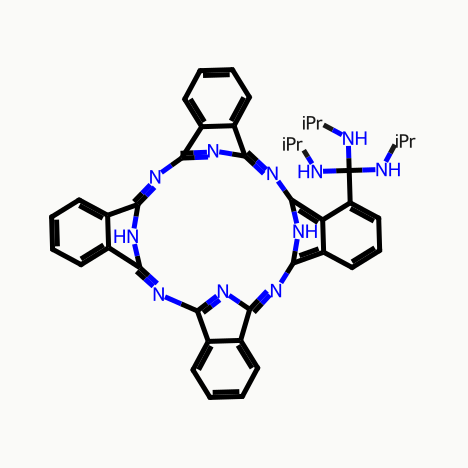 CC(C)NC(NC(C)C)(NC(C)C)c1cccc2c3nc4nc(nc5[nH]c(nc6nc(nc([nH]3)c12)-c1ccccc1-6)c1ccccc51)-c1ccccc1-4